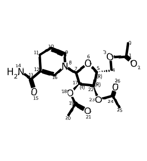 CC(=O)OC[C@H]1OC(N2C=CCC(C(N)=O)=C2)[C@H](OC(C)=O)[C@@H]1OC(C)=O